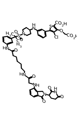 CC(C)(c1cccc(NC(=O)CCCCCCNC(=O)CNc2cccc3c2CN(C2CCC(=O)NC2=O)C3=O)c1)S(=O)(=O)N1CCC(Nc2cccc(-c3sc(C(=O)O)c(OCC(=O)O)c3Cl)c2)CC1